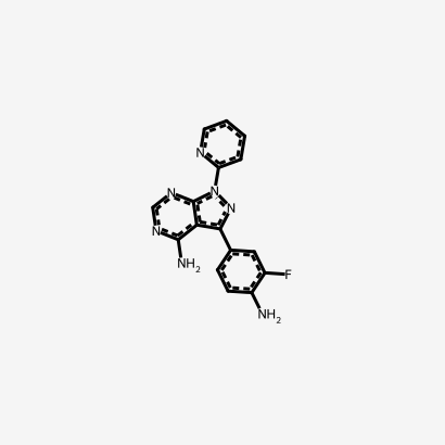 Nc1ccc(-c2nn(-c3ccccn3)c3ncnc(N)c23)cc1F